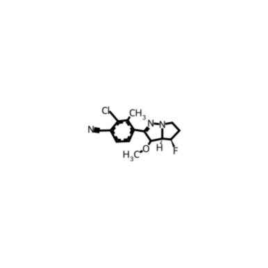 COC1C(c2ccc(C#N)c(Cl)c2C)=NN2CC[C@@H](F)[C@@H]12